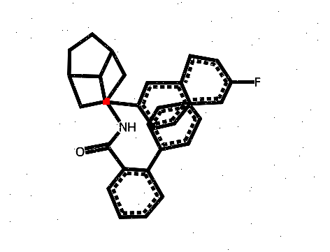 O=C(NC1CC2CCC(C1)C2Cc1ccc2cc(F)ccc2c1)c1ccccc1-c1ccccc1